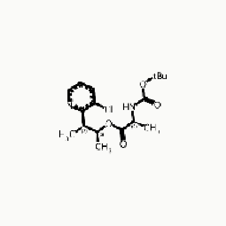 C[C@H](NC(=O)OC(C)(C)C)C(=O)O[C@@H](C)[C@@H](C)c1ncccc1Cl